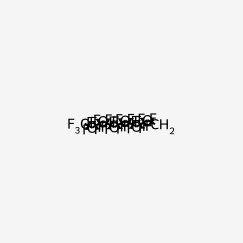 [CH2]C(F)(F)OC(F)(F)C(F)(F)OC(F)(F)C(F)(F)OC(F)(F)C(F)(F)OC(F)(F)C(F)(F)OC(F)(F)C(F)(F)OC(F)(F)C(F)(F)F